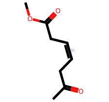 COC(=O)C/C=C\CC(C)=O